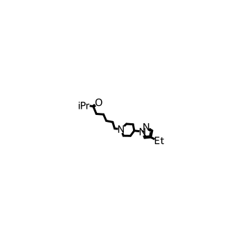 CCc1cnn(C2CCN(CCCCCC(=O)C(C)C)CC2)c1